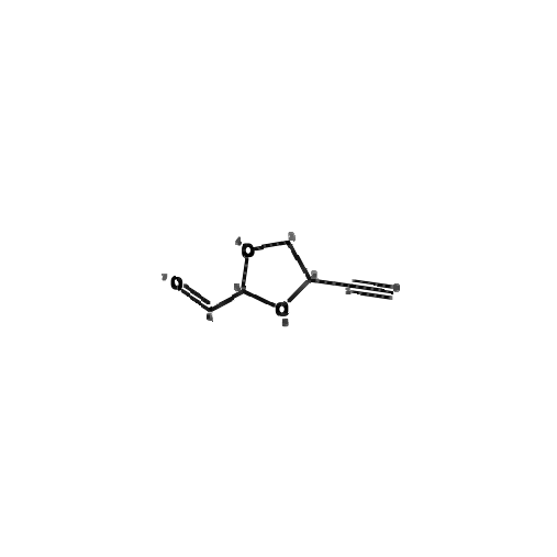 C#CC1COC(C=O)O1